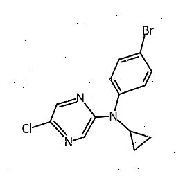 Clc1cnc(N(c2ccc(Br)cc2)C2CC2)cn1